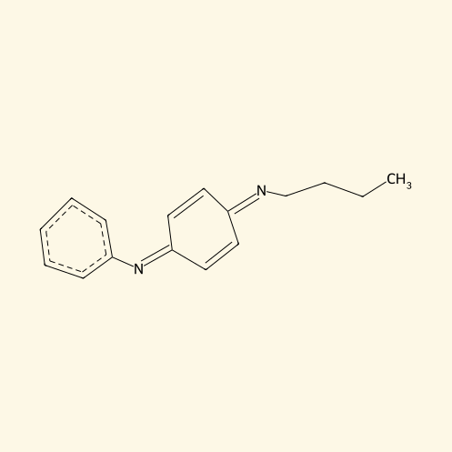 CCCCN=C1C=CC(=Nc2ccccc2)C=C1